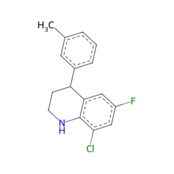 Cc1cccc(C2CCNc3c(Cl)cc(F)cc32)c1